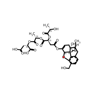 C[C@H](O)C(=O)O[C@@H](CC(=O)OC1=CC[C@@]2(O)[C@H]3Cc4ccc(CO)c5c4[C@@]2(CCN3C)[C@H]1O5)C(=O)O[C@@H](C)C(=O)O[C@@H](CC(=O)O)C(=O)O